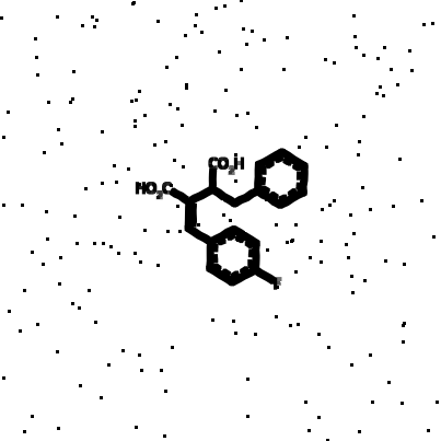 O=C(O)C(=Cc1ccc(F)cc1)C(Cc1ccccc1)C(=O)O